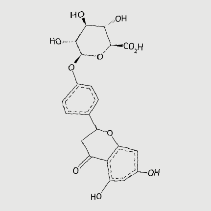 O=C1CC(c2ccc(O[C@@H]3O[C@H](C(=O)O)[C@@H](O)[C@H](O)[C@H]3O)cc2)Oc2cc(O)cc(O)c21